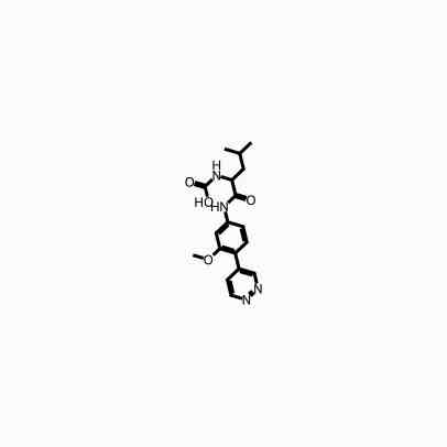 COc1cc(NC(=O)C(CC(C)C)NC(=O)O)ccc1-c1ccnnc1